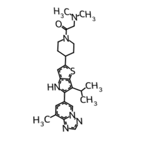 Cc1cc(-c2[nH]c3cc(C4CCN(C(=O)CN(C)C)CC4)sc3c2C(C)C)cn2ncnc12